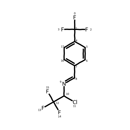 FC(F)(F)c1ccc([C]=NC(Cl)C(F)(F)F)cc1